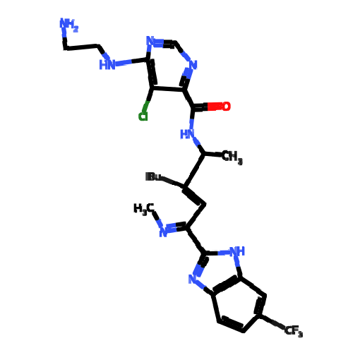 CCC(C)/C(=C\C(=N/C)c1nc2ccc(C(F)(F)F)cc2[nH]1)C(C)NC(=O)c1ncnc(NCCN)c1Cl